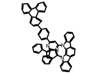 c1ccc(-c2ccc(-n3c4ccccc4c4ccc5c6ccccc6n(-c6cc(-c7ccc(-c8ccc9c%10ccccc%10c%10ccccc%10c9c8)cc7)nc(-c7ccccc7)n6)c5c43)cc2)cc1